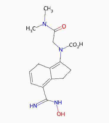 CN(C)C(=O)CN(C(=O)O)C1=C2CC=CC(C(=N)NO)=C2CC1